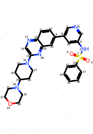 O=S(=O)(Nc1cncc(-c2ccc3ncc(N4CCC(N5CCOCC5)CC4)nc3c2)c1)c1ccccc1